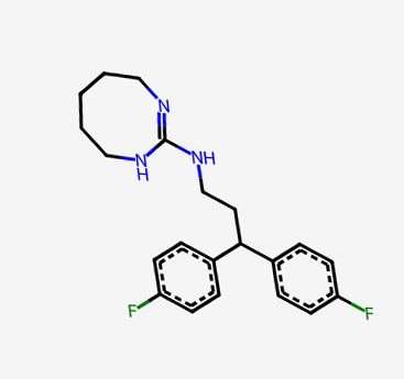 Fc1ccc(C(CCN/C2=N/CCCCCN2)c2ccc(F)cc2)cc1